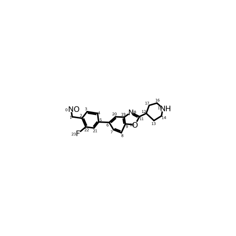 O=NCc1ccc(-c2ccc3oc(C4CCNCC4)nc3c2)cc1F